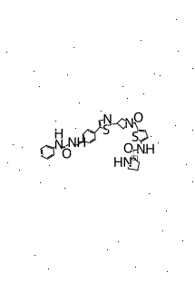 O=C(NCc1ccc(-c2cnc(C3CN(C(=O)c4ccc(NC(=O)[C@@H]5CCCN5)s4)C3)s2)cc1)Nc1ccccc1